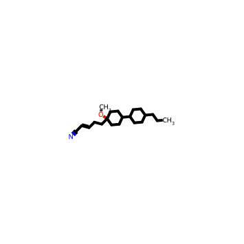 CCCC1CCC(C2CCC(CCC=CC#N)(OC)CC2)CC1